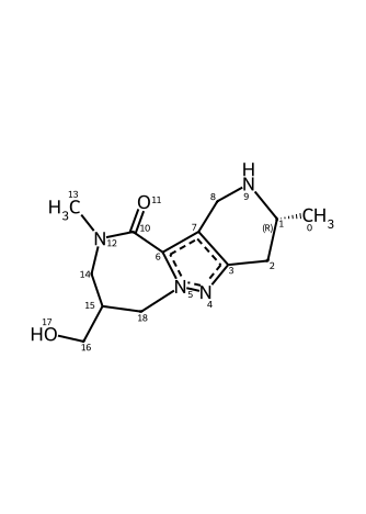 C[C@@H]1Cc2nn3c(c2CN1)C(=O)N(C)CC(CO)C3